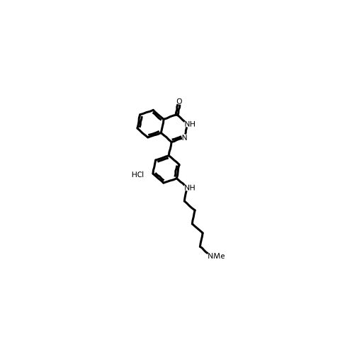 CNCCCCCNc1cccc(-c2n[nH]c(=O)c3ccccc23)c1.Cl